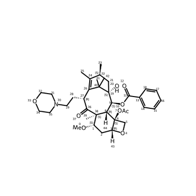 CO[C@H]1C[C@H]2OC[C@@]2(OC(C)=O)[C@H]2[C@H](OC(=O)c3ccccc3)[C@]3(O)C[C@H](C)C(C)=C([C@@H](CCN4CCOCC4)C(=O)[C@]12C)C3(C)C